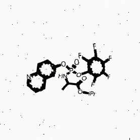 CC(C)OC(=O)C(C)NP(=O)(Oc1ccc2ncccc2c1)Oc1c(F)c(F)c(F)c(F)c1F